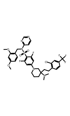 COc1ccc(CN(c2ccncn2)S(=O)(=O)c2c(F)cc(N3CCCC(CCc4ccc(C(F)(F)F)cc4Cl)(N(C)C)C3)cc2F)c(OC)c1